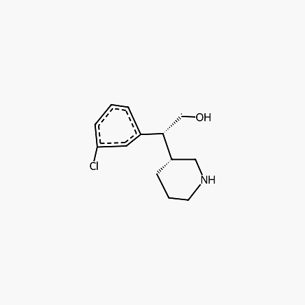 O[CH][C@@H](c1cccc(Cl)c1)[C@H]1CCCNC1